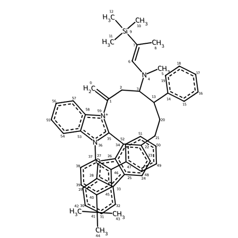 C=C1CC(N(C)/C=C(\C)[Si](C)(C)C)C(c2ccccc2)CCc2ccc3c(oc4ccccc43)c2-c2n(-c3ccc(C(C)(C)C)cc3-c3ccccc3)c3ccccc3[n+]21